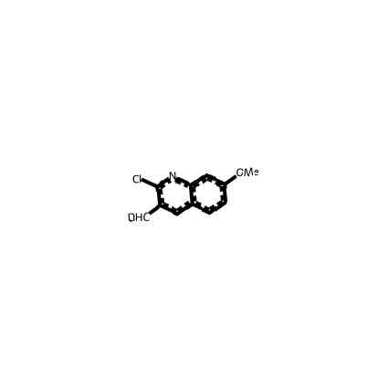 COc1ccc2cc(C=O)c(Cl)nc2c1